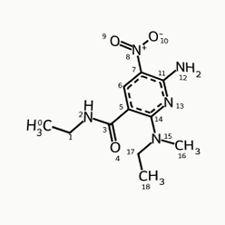 CCNC(=O)c1cc([N+](=O)[O-])c(N)nc1N(C)CC